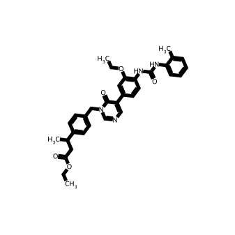 CCOC(=O)CC(C)c1ccc(Cn2cncc(-c3ccc(NC(=O)Nc4ccccc4C)c(OCC)c3)c2=O)cc1